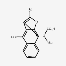 CC(=O)c1oc2c3c(O)c4ccccc4c2c13.CC(C)(C)OC(=O)O